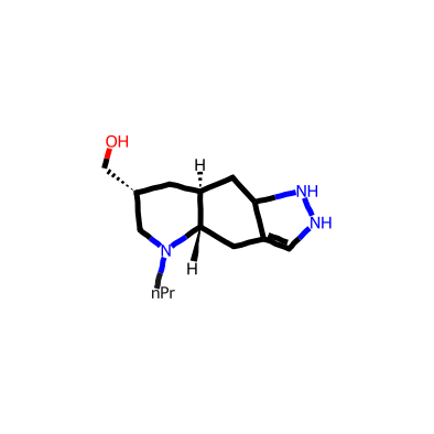 CCCN1C[C@H](CO)C[C@H]2CC3NNC=C3C[C@@H]21